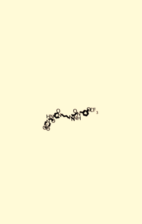 O=C(CN1CCS(=O)(=O)CC1)Nc1ccn(CCCCn2cc(C(=O)NCc3cccc(OC(F)(F)F)c3)nn2)c(=O)c1